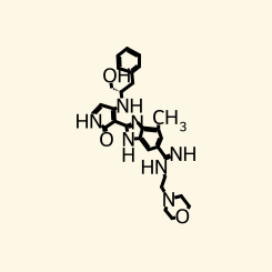 Cc1cc(C(=N)NCCN2CCOCC2)cc2[nH]c(-c3c(N[C@H](CO)Cc4ccccc4)cc[nH]c3=O)nc12